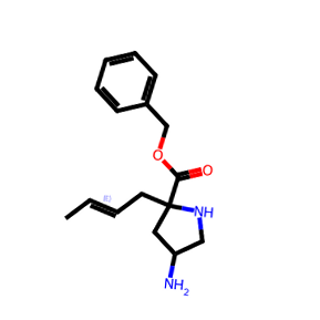 C/C=C/CC1(C(=O)OCc2ccccc2)CC(N)CN1